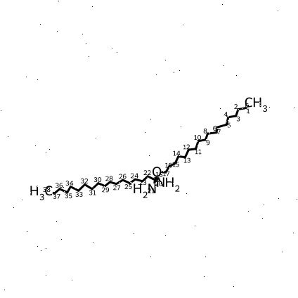 CCCCCCCCCCCCCCCCCCOC(N)(N)CCCCCCCCCCCCCCCCC